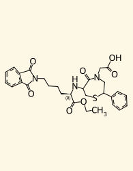 CCOC(=O)[C@@H](CCCCN1C(=O)c2ccccc2C1=O)NC1CSC(c2ccccc2)CN(CC(=O)O)C1=O